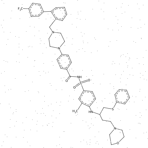 Cc1cc(S(=O)(=O)NC(=O)c2ccc(N3CCN(Cc4ccccc4-c4ccc(C(F)(F)F)cc4)CC3)cc2)ccc1NC(CCN1CCOCC1)CSc1ccccc1